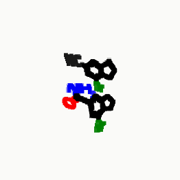 N#Cc1cc(Br)c2c(c1)CCC2.NC(=O)c1cc(Br)c2c(c1)CCC2